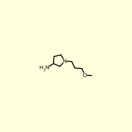 COCCCN1CCC(N)C1